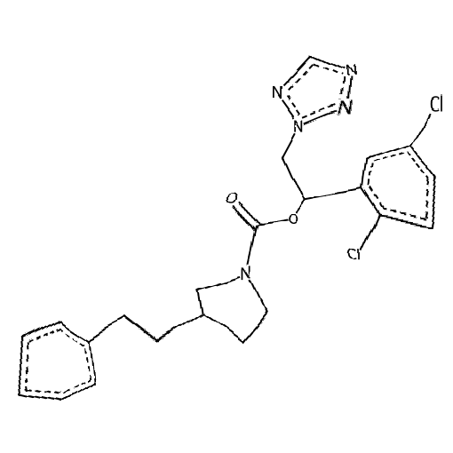 O=C(OC(Cn1ncnn1)c1cc(Cl)ccc1Cl)N1CCC(CCc2ccccc2)C1